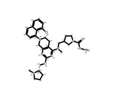 CN(CC1CCN(C(=O)OC(C)(C)C)C1)c1nc(OC[C@@H]2CCCN2C)nc2c1CCN(c1cccc3cccc(Cl)c13)C2